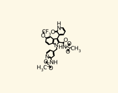 CS(=O)(=O)NC(=O)c1c(-c2ccc[nH]c2=O)c2cc(OC(F)(F)F)ccc2n1Cc1ccnc(NS(C)(=O)=O)c1